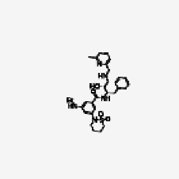 CCNc1cc(C(=O)N[C@@H](Cc2ccccc2)[C@H](O)CNCc2cccc(C)n2)cc(N2CCCCS2(=O)=O)c1